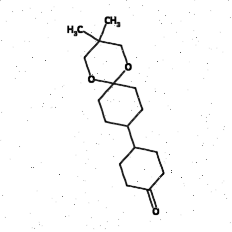 CC1(C)COC2(CCC(C3CCC(=O)CC3)CC2)OC1